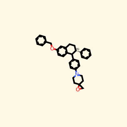 c1ccc(COc2ccc3c(c2)CC[C@H](c2ccccc2)C3c2ccc(N3CCC4(CC3)CO4)cc2)cc1